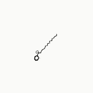 CCCCCCCCCCCCCCC(=O)c1[c]cccc1